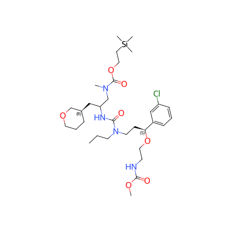 CCCN(CC[C@H](OCCNC(=O)OC)c1cccc(Cl)c1)C(=O)NC(C[C@H]1CCCOC1)CN(C)C(=O)OCC[Si](C)(C)C